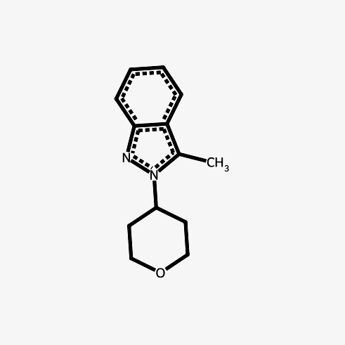 Cc1c2ccccc2nn1C1CCOCC1